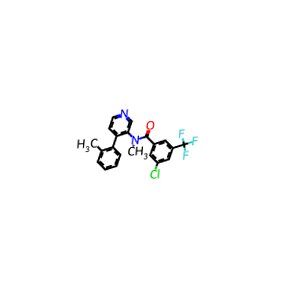 Cc1ccccc1-c1ccncc1N(C)C(=O)c1cc(Cl)cc(C(F)(F)F)c1